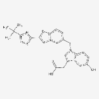 CC(C)(C)c1csc(-c2cc3cc(Cn4cc(CC(=O)O)c5cc(O)ccc54)ccc3o2)n1